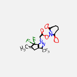 C[C@@H]1Cc2c(C(F)(F)F)nn(CC(=O)ON3C(=O)CCC3=O)c2C1(F)F